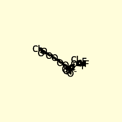 O=C(CCl)OCCOCCOCCOCCOC(=O)c1cc(Oc2ccc(C(F)(F)F)cc2Cl)ccc1[N+](=O)[O-]